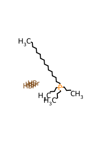 Br.Br.Br.CCCCCCCCCCCCCCCC[P](CCCC)(CCCC)CCCC